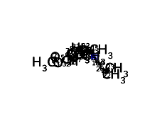 CC(=O)OC1=CC2=CC[C@H]3[C@@H]4CC[C@H]([C@H](C)/C=C/CCCC(C)C)[C@@]4(C)CC[C@@H]3[C@@]2(C)CC1